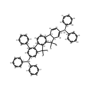 CC1(C)c2cc(N(c3ccccc3)c3ccccc3)cc(-c3ccccc3)c2-c2ccc3c(c21)C(C)(C)C1C=C(N(c2ccccc2)c2ccccc2)C=CC31